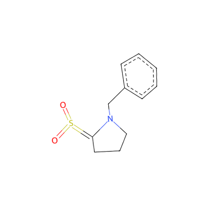 O=S(=O)=C1CCCN1Cc1ccccc1